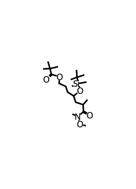 CON(C)C(=O)C(C)CC(CCCOC(=O)C(C)(C)C)O[Si](C)(C)C(C)(C)C